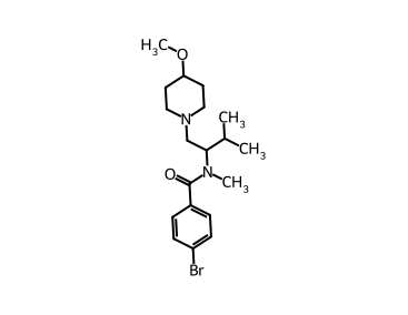 COC1CCN(CC(C(C)C)N(C)C(=O)c2ccc(Br)cc2)CC1